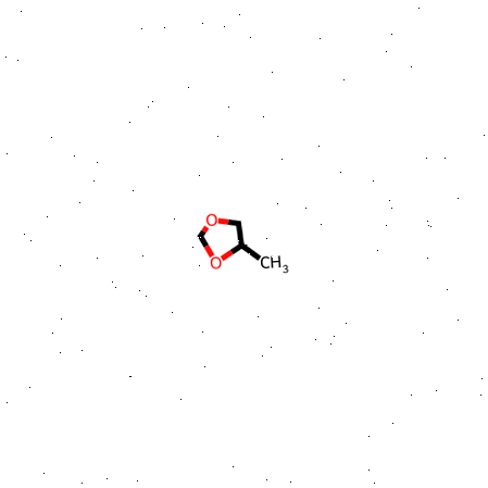 C[C]1COCO1